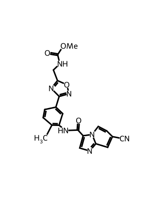 COC(=O)NCc1nc(-c2ccc(C)c(NC(=O)c3cnc4cc(C#N)ccn34)c2)no1